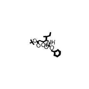 CCC(C)[C@H](NC(=O)OCc1ccccc1)[C@H](O)CC(=O)OC(C)(C)C